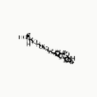 O=C(O)NCCOCCOCCOCCCc1ccc2c(c1)CN(C1CCC(=O)NC1=O)C2=O